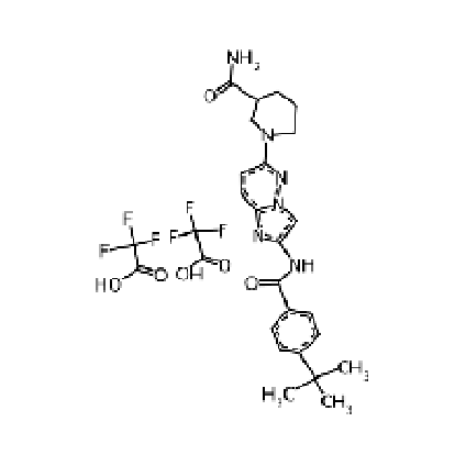 CC(C)(C)c1ccc(C(=O)Nc2cn3nc(N4CCCC(C(N)=O)C4)ccc3n2)cc1.O=C(O)C(F)(F)F.O=C(O)C(F)(F)F